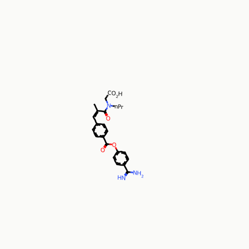 CCCN(CC(=O)O)C(=O)C(C)=Cc1ccc(C(=O)Oc2ccc(C(=N)N)cc2)cc1